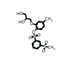 Cc1ccc(OS(=O)(=O)c2cccc(S(C)(=O)=O)c2)c(OCC(O)CO)c1